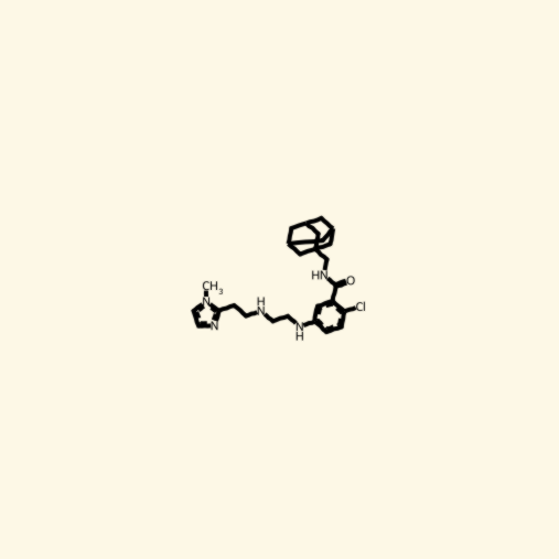 Cn1ccnc1CCNCCNc1ccc(Cl)c(C(=O)NCC23CC4CC(CC(C4)C2)C3)c1